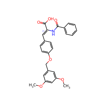 COc1cc(COc2ccc(/C=C(\NC(=O)c3ccccc3)C(=O)O)cc2)cc(OC)c1